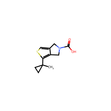 CC1(c2scc3c2CN(C(=O)O)C3)CC1